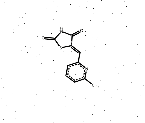 Cc1cccc(/C=C2\SC(=O)NC2=O)n1